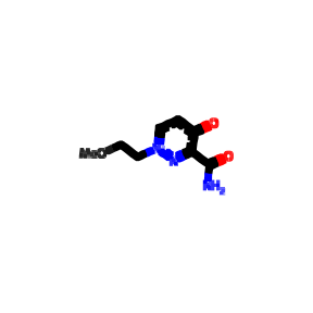 COCCn1ccc(=O)c(C(N)=O)n1